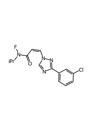 CC(C)N(F)C(=O)/C=C\n1cnc(-c2cccc(Cl)c2)n1